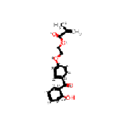 C=C(C)C(=O)OCCOc1ccc(C(=O)c2ccccc2O)cc1